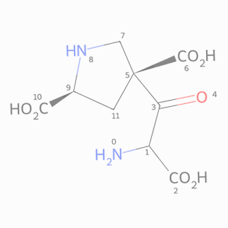 NC(C(=O)O)C(=O)[C@@]1(C(=O)O)CN[C@H](C(=O)O)C1